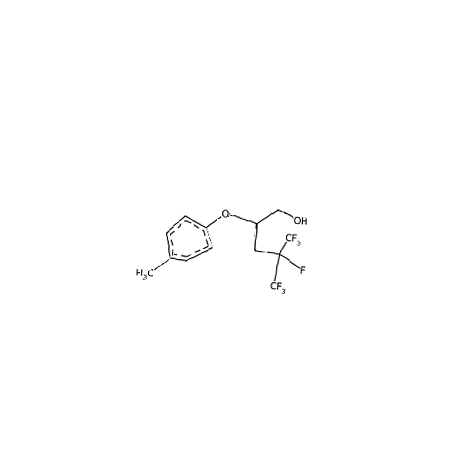 Cc1ccc(OC(CO)CC(F)(C(F)(F)F)C(F)(F)F)cc1